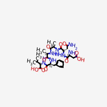 CC(C)[C@H](NC(=O)[C@H](Cc1ccccc1)NC(=O)[C@H](C)NC(=O)[C@H](C)NC(=O)[C@H](CC(N)=O)NC(=O)[C@@H](N)CC(=O)O)C(=O)O